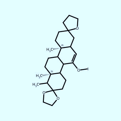 CC1C2(CCC3C4C(OI)=CC5CC6(CCCO6)CC[C@]5(C)C4CC[C@@]31C)OCCO2